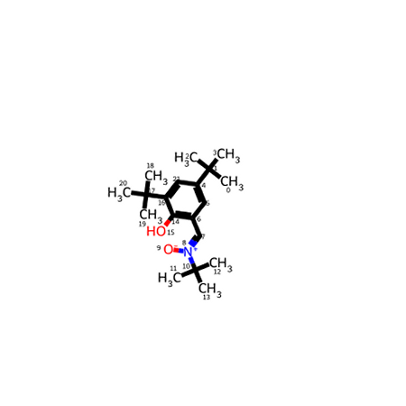 CC(C)(C)c1cc(C=[N+]([O-])C(C)(C)C)c(O)c(C(C)(C)C)c1